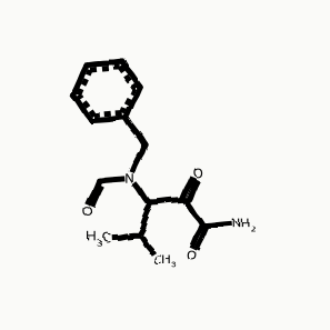 CC(C)C(C(=O)C(N)=O)N(C=O)Cc1ccccc1